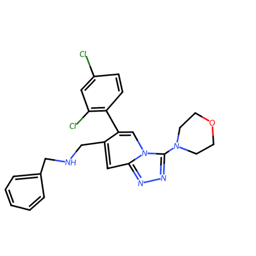 Clc1ccc(-c2cn3c(N4CCOCC4)nnc3cc2CNCc2ccccc2)c(Cl)c1